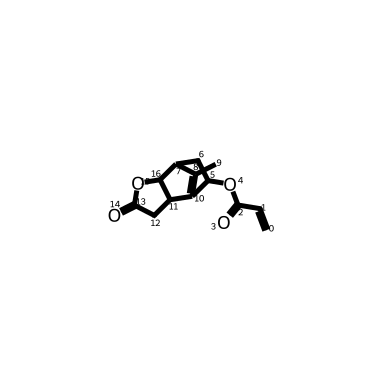 C=CC(=O)OC1CC2C(C)=C1C1CC(=O)OC21